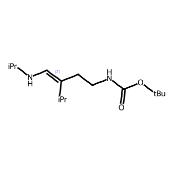 CC(C)N/C=C(/CCNC(=O)OC(C)(C)C)C(C)C